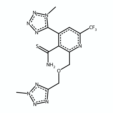 Cn1nnc(COCc2nc(C(F)(F)F)cc(-c3nnnn3C)c2C(N)=S)n1